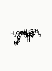 Cc1c(NS(=O)(=O)c2ccc3c(c2)CN([C@H](C)c2ccc(OCC(F)(F)F)cc2)CC3)noc1C(C)(C)C